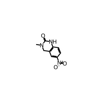 CN1Cc2cc([N+](=O)[O-])ccc2NC1=O